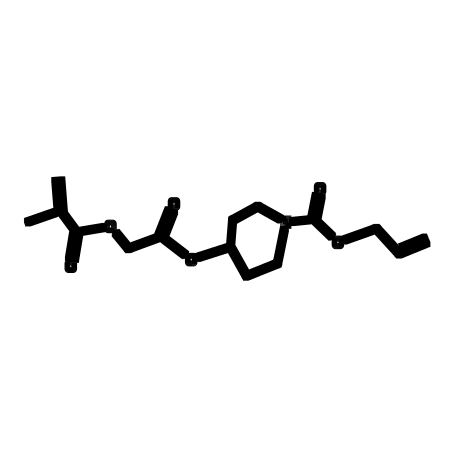 C=CCOC(=O)N1CCC(OC(=O)COC(=O)C(=C)C)CC1